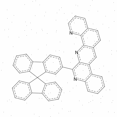 c1ccc2c(c1)-c1ccccc1C21c2ccccc2-c2ccc(-c3nc4ccccc4c4cc5ccc6cccnc6c5nc34)cc21